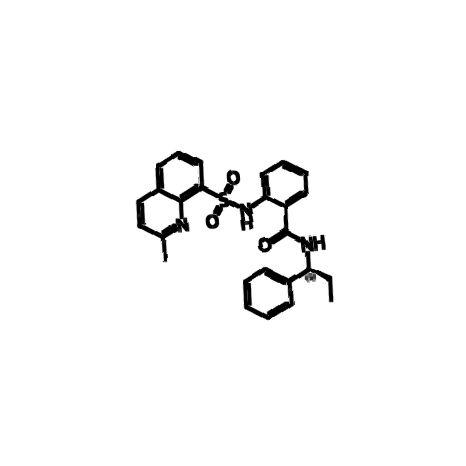 CC[C@H](NC(=O)c1ccccc1NS(=O)(=O)c1cccc2ccc(C)nc12)c1ccccc1